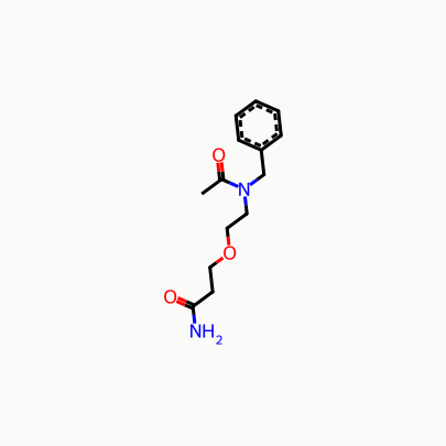 CC(=O)N(CCOCCC(N)=O)Cc1ccccc1